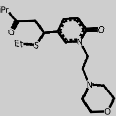 CCSC(CC(=O)C(C)C)c1ccc(=O)n(CCN2CCOCC2)c1